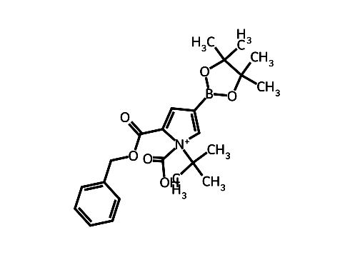 CC1(C)OB(C2=C[N+](C(=O)O)(C(C)(C)C)C(C(=O)OCc3ccccc3)=C2)OC1(C)C